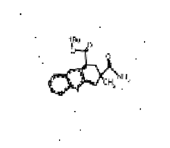 CC(C)(C)OC(=O)C1=c2cc3ccccc3nc2=CC(C)(C(N)=O)C1